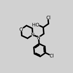 OC(CCl)CN(c1cccc(Cl)c1)N1CCOCC1